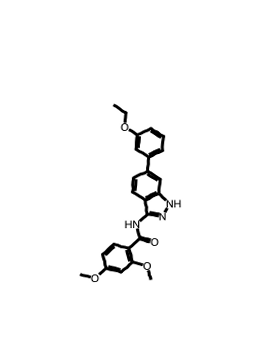 CCOc1cccc(-c2ccc3c(NC(=O)c4ccc(OC)cc4OC)n[nH]c3c2)c1